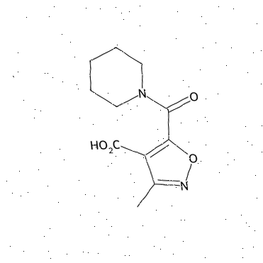 Cc1noc(C(=O)N2CCCCC2)c1C(=O)O